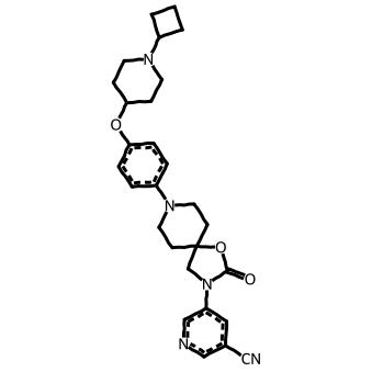 N#Cc1cncc(N2CC3(CCN(c4ccc(OC5CCN(C6CCC6)CC5)cc4)CC3)OC2=O)c1